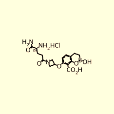 Cl.NC(=O)[C@@H](N)CCC(=O)N1CC(Oc2ccc3c(c2C(=O)O)OB(O)CC3)C1